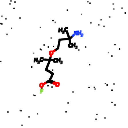 CC(C)(N)CCOC(C)(C)CCC(=O)OF